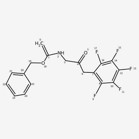 C=C(NCC(=O)Cc1c(F)c(F)c(F)c(F)c1F)OCc1ccccc1